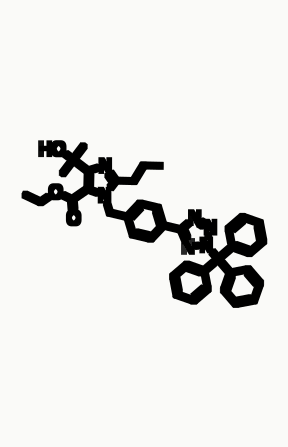 CCCc1nc(C(C)(C)O)c(C(=O)OCC)n1Cc1ccc(-c2nnn(C(c3ccccc3)(c3ccccc3)c3ccccc3)n2)cc1